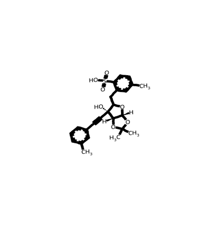 Cc1cccc(C#C[C@@]2(O)C(Cc3cc(C)ccc3S(=O)(=O)O)O[C@@H]3OC(C)(C)O[C@@H]32)c1